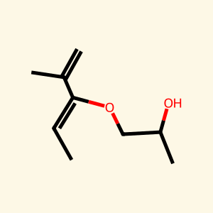 C=C(C)C(=CC)OCC(C)O